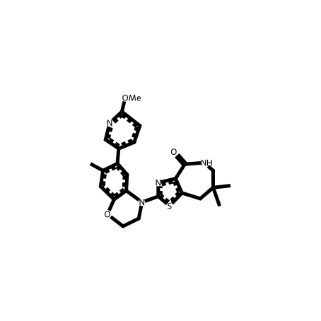 COc1ccc(-c2cc3c(cc2C)OCCN3c2nc3c(s2)CC(C)(C)CNC3=O)cn1